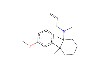 C=CCN(C)C1(C)CCCCC1(C)c1cccc(OC)c1